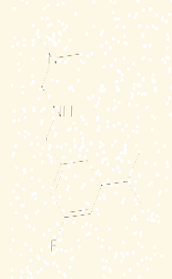 CC(C)C1C=C(F)C=C(CNCN(C)C)C1